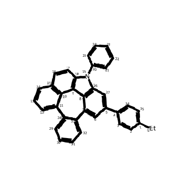 CCc1ccc(-c2cc3c4c5c6c(cccc6ccc5n(-c5ccccc5)c4c2)-c2ccccc2-3)cc1